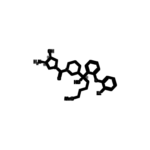 CCc1ccccc1Oc1ccccc1[C@](O)(CCCCOC)C1CCCN(C(=O)N2C[C@@H](N)[C@@H](O)C2)C1